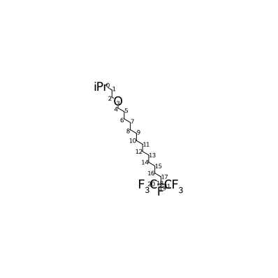 CC(C)CCOCCCCCCCCCCCCCCC(F)(C(F)(F)F)C(F)(F)F